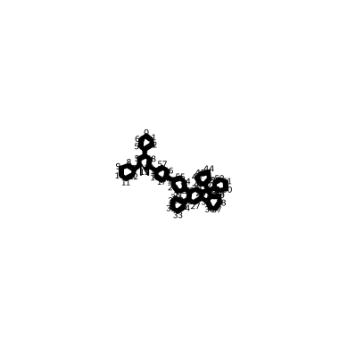 c1ccc(-c2cc(-c3ccccc3)nc(-c3ccc(-c4ccc(-c5cc6c(cc5-c5ccccc5)-c5ccccc5C6(c5ccccc5)c5ccccc5)cc4)cc3)c2)cc1